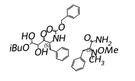 CC(C)COC(O)C(O)C(=O)[C@H](Cc1ccccc1)NC(=O)OCc1ccccc1.CON(C)[C@@H](Cc1ccccc1)C(N)=O